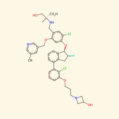 C[C@@](CO)(NCc1cc(Cl)c(O[C@@H]2c3cccc(-c4cccc(OCCCN5CC(O)C5)c4Cl)c3C[C@@H]2F)cc1OCc1cncc(C#N)c1)C(=O)O